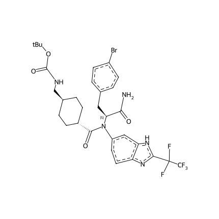 CC(C)(C)OC(=O)NC[C@H]1CC[C@H](C(=O)N(c2ccc3nc(C(F)(F)C(F)(F)F)[nH]c3c2)[C@@H](Cc2ccc(Br)cc2)C(N)=O)CC1